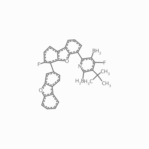 Bc1nc(-c2cccc3c2oc2c(-c4ccc5c(c4)oc4ccccc45)c(F)ccc23)c(B)c(F)c1C(C)(C)C